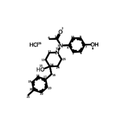 CC(=O)N(c1ccc(O)cc1)N1CCC(O)(Cc2ccc(C)cc2)CC1.Cl